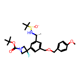 COc1ccc(COCc2cc([C@@H](C)N[S@+]([O-])C(C)(C)C)cc(C3(F)CN(C(=O)OC(C)(C)C)C3)c2)cc1